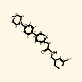 C/C=C(\C=C(/C)F)CNC(=O)Cc1ccc(-c2ccc(N3CCOCC3)cc2)cn1